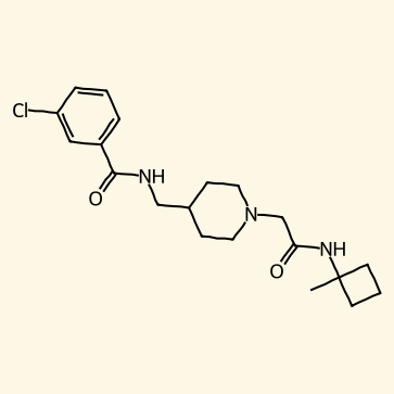 CC1(NC(=O)CN2CCC(CNC(=O)c3cccc(Cl)c3)CC2)CCC1